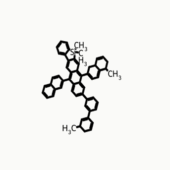 CC1C=C(c2cccc(-c3ccc4c(-c5ccc6ccccc6c5)c5cc6c(cc5c(C5=CC=C7C(C)CC=CC7C5)c4c3)[Si](C)(C)c3ccccc3-6)c2)C=CC1